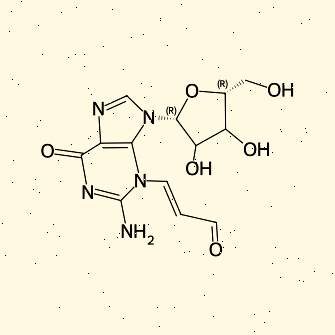 Nc1nc(=O)c2ncn([C@@H]3O[C@H](CO)C(O)C3O)c2n1C=CC=O